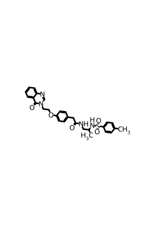 Cc1ccc(S(=O)(=O)NC(C)CNC(=O)Cc2ccc(OCCn3cnc4ccccc4c3=O)cc2)cc1